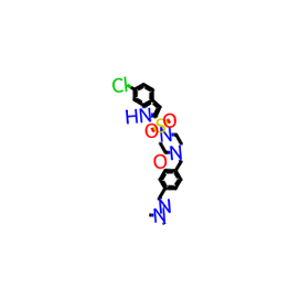 CN(C)/N=C/c1ccc(CN2CCN(S(=O)(=O)c3cc4ccc(Cl)cc4[nH]3)CC2=O)cc1